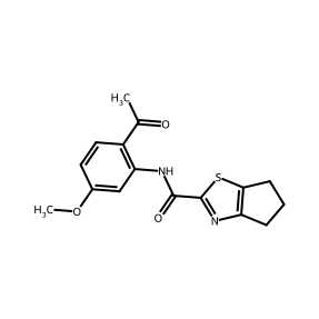 COc1ccc(C(C)=O)c(NC(=O)c2nc3c(s2)CCC3)c1